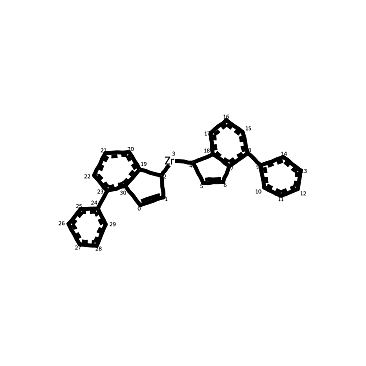 C1=C[CH]([Zr][CH]2C=Cc3c(-c4ccccc4)cccc32)c2cccc(-c3ccccc3)c21